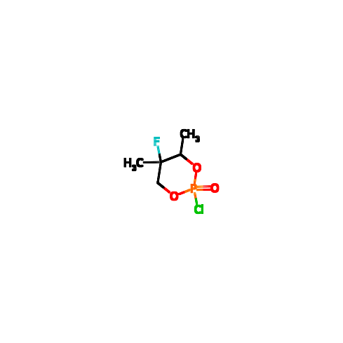 CC1OP(=O)(Cl)OCC1(C)F